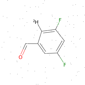 [2H]c1c(F)cc(F)cc1C=O